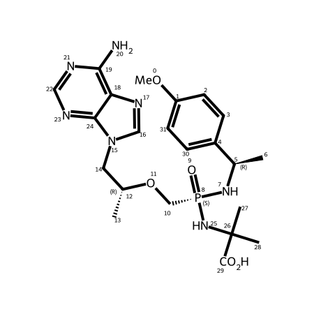 COc1ccc([C@@H](C)N[P@@](=O)(CO[C@H](C)Cn2cnc3c(N)ncnc32)NC(C)(C)C(=O)O)cc1